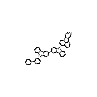 c1ccc(-c2cccc(-n3c4ccccc4c4cc(-c5ccc6c(c5)c5ccccc5n6-c5ccc6c7c(cccc57)-c5cnccc5-6)ccc43)c2)cc1